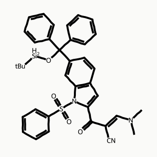 CN(C)C=C(C#N)C(=O)c1cc2ccc(C(O[SiH2]C(C)(C)C)(c3ccccc3)c3ccccc3)cc2n1S(=O)(=O)c1ccccc1